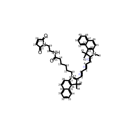 CN1/C(=C/C=C/C=C/C2=[N+](CCCCCC(=O)NCCN3C(=O)C=CC3=O)c3ccc4ccccc4c3C2(C)C)C(C)(C)c2c1ccc1ccccc21